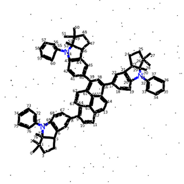 CC1(C)CCC2c3cc(-c4ccc5ccc6c(-c7ccc8c(c7)C7CCC(C)(C)C7(C)N8c7ccccc7)cc(-c7ccc8c(c7)C7CCC(C)(C)C7(C)N8c7ccccc7)c7ccc4c5c67)ccc3N(c3ccccc3)C21C